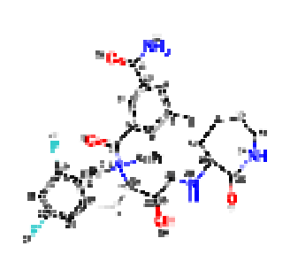 CCC[N+](CCC)(C(=O)c1cc(C)cc(C(N)=O)c1)[C@@H](Cc1cc(F)cc(F)c1)[C@H](O)CNC1CCCCNC1=O